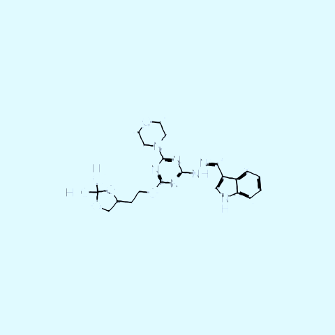 CC1(C)OCC(CCOc2nc(N/N=C\c3c[nH]c4ccccc34)nc(N3CCOCC3)n2)O1